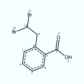 O=C(O)c1ccccc1CC(Br)Br